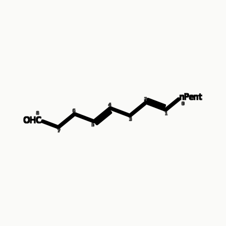 CCCCC/C=C/C/C=C/CCC=O